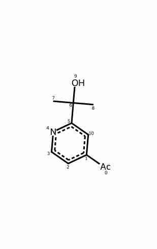 CC(=O)c1ccnc(C(C)(C)O)c1